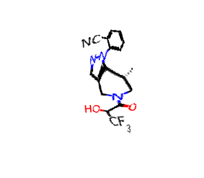 C[C@@H]1CN(C(=O)C(O)C(F)(F)F)Cc2cnn(-c3ccccc3C#N)c21